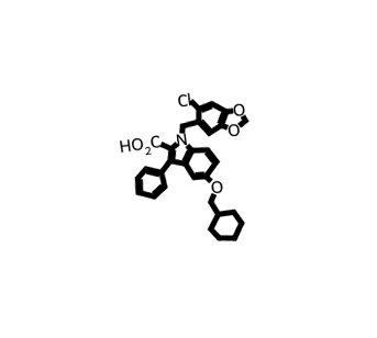 O=C(O)c1c(-c2ccccc2)c2cc(OCC3CCCCC3)ccc2n1Cc1cc2c(cc1Cl)OCO2